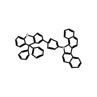 c1ccc(C2(c3ccccc3)c3ccccc3Oc3ccc(-c4ccc(-n5c6ccc7ccccc7c6c6ccc7ccccc7c65)cc4)cc32)cc1